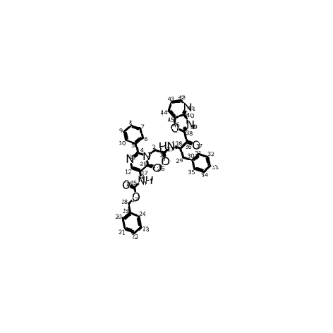 O=C(Cn1c(-c2ccccc2)ncc(NC(=O)OCc2ccccc2)c1=O)NC(Cc1ccccc1)C(=O)c1nc2ncccc2o1